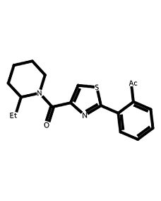 CCC1CCCCN1C(=O)c1csc(-c2ccccc2C(C)=O)n1